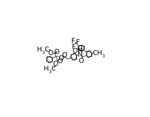 CCOC(=O)C(COC(=O)Cc1ccc(NC(=O)c2ccc(C)cc2-c2ccc(C(F)(F)F)cc2)c(O)c1)(C(=O)OCC)c1ccccc1